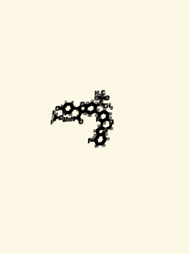 CNC(=O)c1c(-c2ccc(=O)n(OC(F)F)c2)oc2cc(N(C)S(C)(=O)=O)c(-c3ccc4c(n3)-c3cc5c(F)cccc5n3CO4)cc12